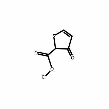 O=C1C=CSC1C(=O)OCl